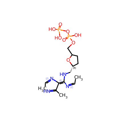 C\C=N/C(NC[C@H]1CCC(COP(=O)(O)OP(=O)(O)O)O1)=C(/N=C\C)C(C)=N